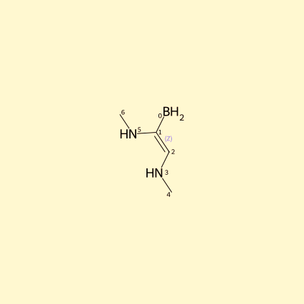 B/C(=C/NC)NC